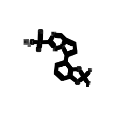 CS(=O)(=O)c1ncc2ccc(-c3cccc4c3OC(F)(F)O4)n2n1